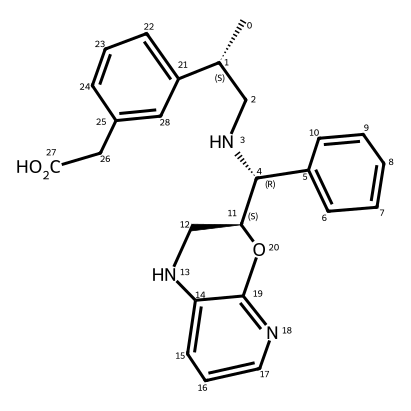 C[C@H](CN[C@H](c1ccccc1)[C@@H]1CNc2cccnc2O1)c1cccc(CC(=O)O)c1